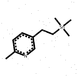 Cc1ccc(C[CH2][Sn]([CH3])([CH3])[CH3])cn1